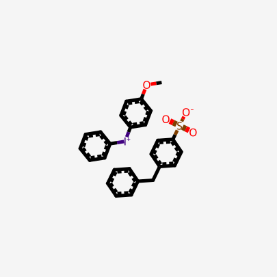 COc1ccc([I+]c2ccccc2)cc1.O=S(=O)([O-])c1ccc(Cc2ccccc2)cc1